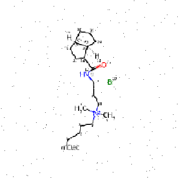 CCCCCCCCCCCCCC[N+](C)(C)CCCNC(=O)C1CC[C@H]2CCC[C@@H]12.[Br-]